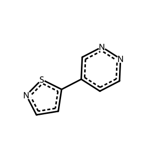 c1cc(-c2ccns2)cnn1